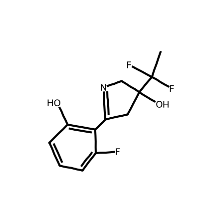 CC(F)(F)C1(O)CN=C(c2c(O)cccc2F)C1